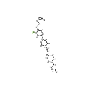 CCCCc1ccc(-c2ccc(C#C[C@H]3CC[C@H](CCC)CC3)cc2)cc1F